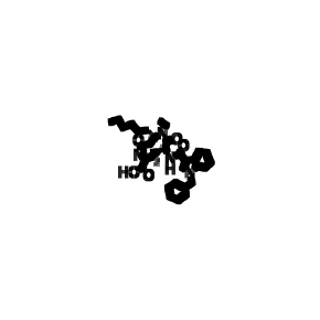 CCCCCC[C@@H](CC(N)=O)N(CC)C(=O)[C@H](CCCC(=O)O)NC(=O)c1cn(Cc2ccccc2)c2ccccc12